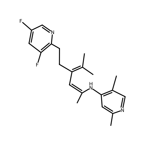 CC(C)=C(/C=C(/C)Nc1cc(C)ncc1C)CCc1ncc(F)cc1F